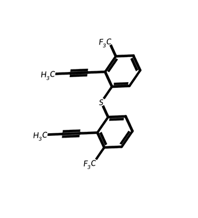 CC#Cc1c(Sc2cccc(C(F)(F)F)c2C#CC)cccc1C(F)(F)F